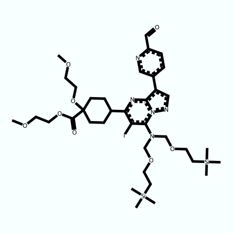 COCCOC(=O)C1(OCCOC)CCC(c2nc3c(-c4ccc(C=O)nc4)cnn3c(N(COCC[Si](C)(C)C)COCC[Si](C)(C)C)c2I)CC1